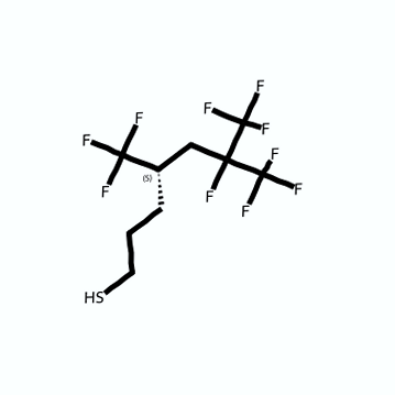 FC(F)(F)[C@@H](CCCS)CC(F)(C(F)(F)F)C(F)(F)F